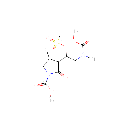 CC1CN(C(=O)OC(C)(C)C)C(=O)C1C(CN(C)C(=O)OC(C)(C)C)OS(C)(=O)=O